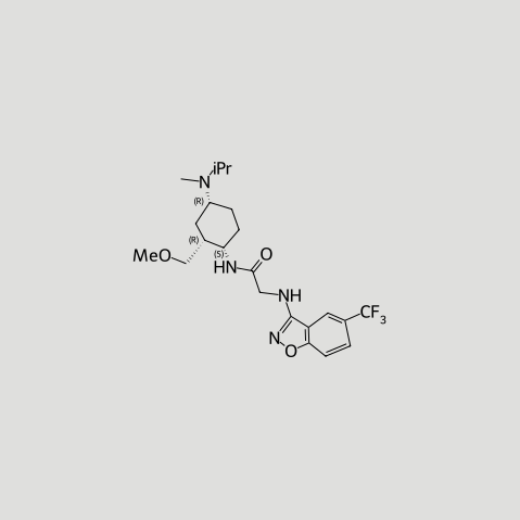 COC[C@@H]1C[C@H](N(C)C(C)C)CC[C@@H]1NC(=O)CNc1noc2ccc(C(F)(F)F)cc12